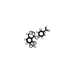 CC(C)c1ccc(OC(=O)c2c([C]=O)ccc3c2OCO3)cc1